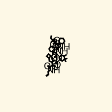 C=CCNC(=O)C(=O)C(CC1CCC1)NC(=O)[C@@H]1CC(C)(C)C(C)CN1C(=O)[C@@H](NC(=O)NC1(CS(=O)(=O)C(C)(C)CC)CCCCC1)C1(C)CCCCC1